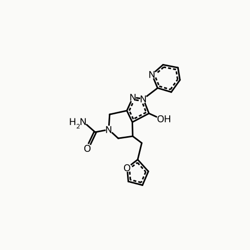 NC(=O)N1Cc2nn(-c3ccccn3)c(O)c2C(Cc2ccco2)C1